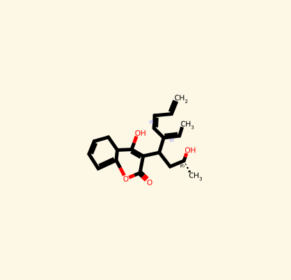 C=C/C=C\C(=C/C)C(C[C@@H](C)O)C1=C(O)C2CC=CC=C2OC1=O